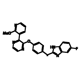 COc1ncccc1-c1nccnc1Oc1ccc([C]c2nc3cc(F)ccc3[nH]2)cc1